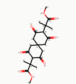 COC(=O)C(C)(C)C1C(=O)CC2(CC1=O)CC(=O)C(C(C)(C)C(=O)OC)C(=O)C2